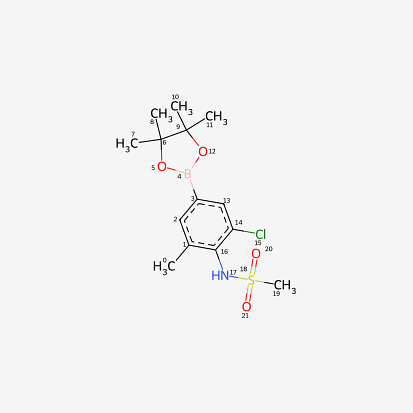 Cc1cc(B2OC(C)(C)C(C)(C)O2)cc(Cl)c1NS(C)(=O)=O